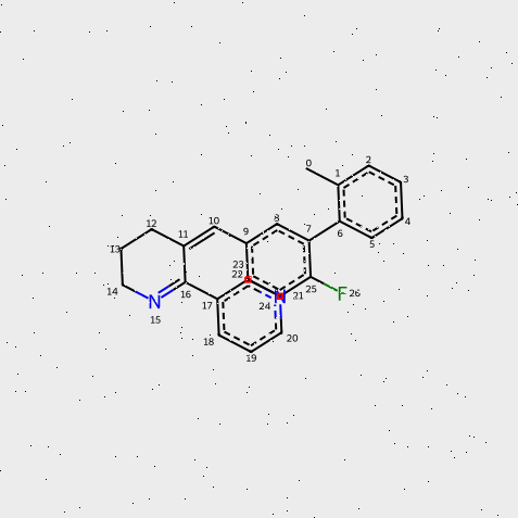 Cc1ccccc1-c1cc(/C=C2/CCCN=C2c2cccnc2)ccc1F